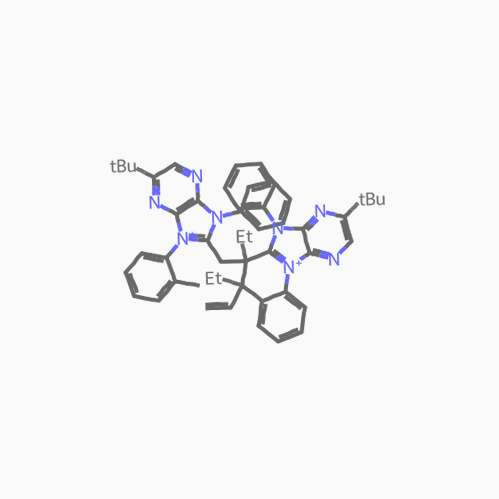 C=CC1(CC)c2ccccc2-[n+]2c(n(-c3ccccc3)c3nc(C(C)(C)C)cnc32)C1(CC)Cc1n(-c2ccccc2)c2ncc(C(C)(C)C)nc2[n+]1-c1ccccc1C